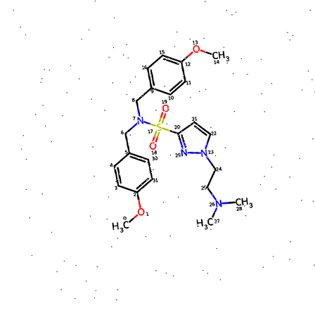 COc1ccc(CN(Cc2ccc(OC)cc2)S(=O)(=O)c2ccn(CCN(C)C)n2)cc1